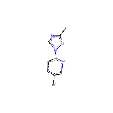 CC(=O)c1ccc(-n2cnc(C)n2)nc1